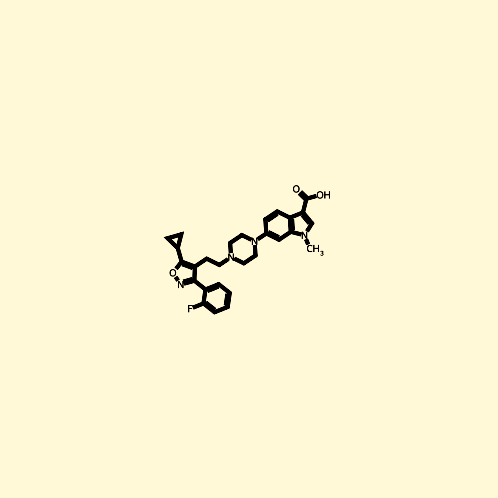 Cn1cc(C(=O)O)c2ccc(N3CCN(CCc4c(-c5ccccc5F)noc4C4CC4)CC3)cc21